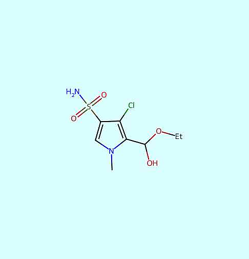 CCOC(O)c1c(Cl)c(S(N)(=O)=O)cn1C